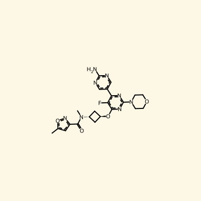 Cc1cc(C(=O)N(C)[C@H]2C[C@H](Oc3nc(N4CCOCC4)nc(-c4cnc(N)nc4)c3F)C2)no1